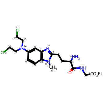 CCOC(=O)CNC(=O)C(N)CCc1nc2cc(N(CCCl)CCCl)ccc2n1C